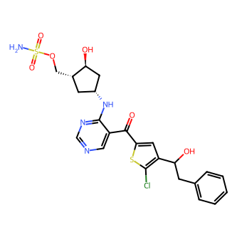 NS(=O)(=O)OC[C@H]1C[C@@H](Nc2ncncc2C(=O)c2cc(C(O)Cc3ccccc3)c(Cl)s2)C[C@@H]1O